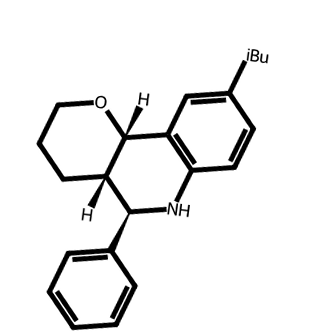 CCC(C)c1ccc2c(c1)[C@H]1OCCC[C@H]1[C@H](c1ccccc1)N2